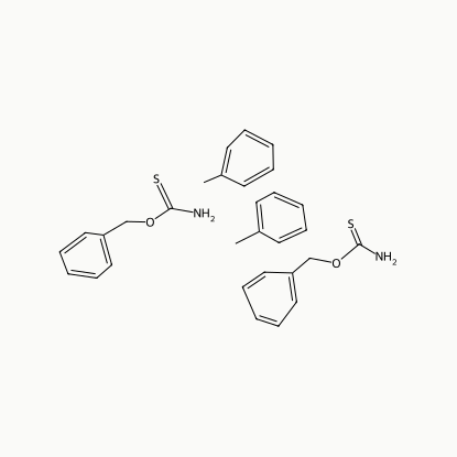 Cc1ccccc1.Cc1ccccc1.NC(=S)OCc1ccccc1.NC(=S)OCc1ccccc1